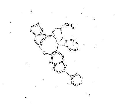 CN1CC[C@@]2(OC1)c1cc(cc3ccccc13)Oc1nc3ccc(-c4ccccc4)cc3cc1[C@H]2c1ccccc1